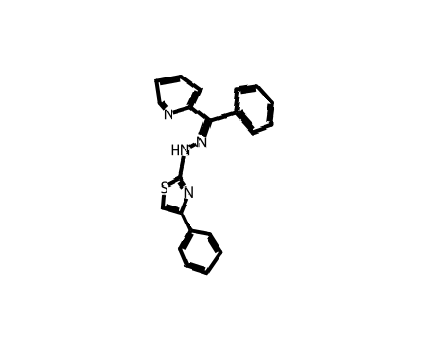 c1ccc(C(=NNc2nc(-c3ccccc3)cs2)c2ccccn2)cc1